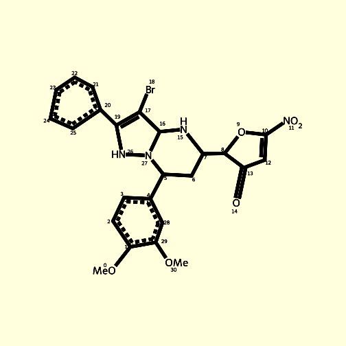 COc1ccc(C2CC(C3OC([N+](=O)[O-])=CC3=O)NC3C(Br)=C(c4ccccc4)NN32)cc1OC